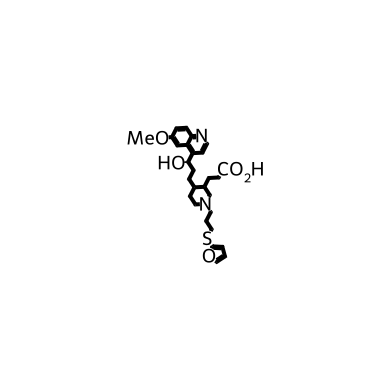 COc1ccc2nccc([C@@H](O)CCC3CCN(CCCSc4ccco4)CC3CCC(=O)O)c2c1